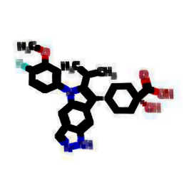 COc1cc(-n2c(C(C)C)c([C@H]3CC[C@](O)(C(=O)O)CC3)c3cc4[nH]ncc4cc32)ccc1F